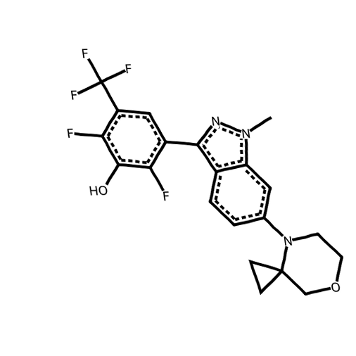 Cn1nc(-c2cc(C(F)(F)F)c(F)c(O)c2F)c2ccc(N3CCOCC34CC4)cc21